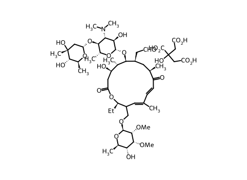 CC[C@H]1OC(=O)C[C@@H](O)[C@H](C)[C@@H](O[C@@H]2O[C@H](C)[C@@H](O[C@H]3C[C@@](C)(O)[C@@H](O)[C@H](C)O3)[C@H](N(C)C)[C@H]2O)[C@@H](CC=O)C[C@@H](C)C(=O)/C=C/C(C)=C/C1CO[C@@H]1O[C@H](C)[C@@H](O)[C@@H](OC)[C@H]1OC.O=C(O)CC(O)(CC(=O)O)C(=O)O